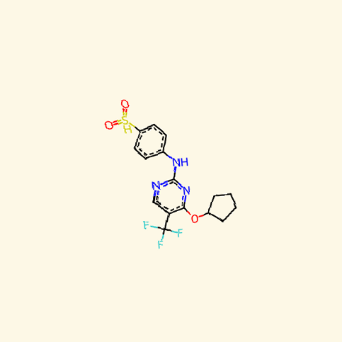 O=[SH](=O)c1ccc(Nc2ncc(C(F)(F)F)c(OC3CCCC3)n2)cc1